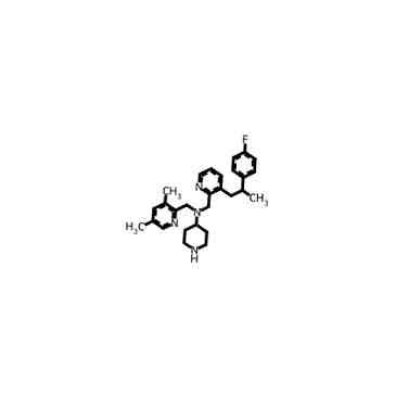 Cc1cnc(CN(Cc2ncccc2CC(C)c2ccc(F)cc2)C2CCNCC2)c(C)c1